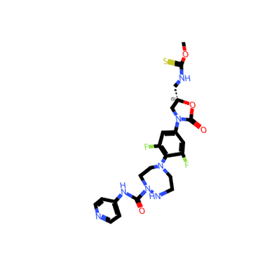 COC(=S)NC[C@H]1CN(c2cc(F)c(N3CCNN(C(=O)Nc4ccncc4)CC3)c(F)c2)C(=O)O1